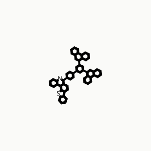 c1ccc2c(c1)cc(-c1cc(-c3ccc(-c4nc5ccccc5c5c4ccc4c6ccccc6sc45)cc3)cc(-c3cc4ccccc4c4ccccc34)c1)c1ccccc12